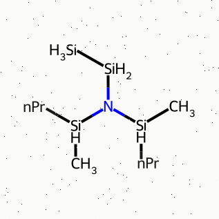 CCC[SiH](C)N([SiH2][SiH3])[SiH](C)CCC